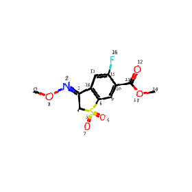 CON=C1CS(=O)(=O)c2cc(C(=O)OC)c(F)cc21